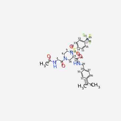 CC(=O)NCC(=O)N1CCN(S(=O)(=O)c2ccc(C(F)(F)F)cc2)[C@@H](C(=O)NCc2ccc(C(C)C)cc2)C1